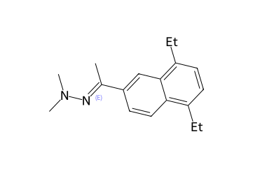 CCc1ccc(CC)c2cc(/C(C)=N/N(C)C)ccc12